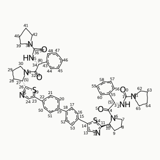 O=C(N[C@H](C(=O)N1CCC[C@H]1c1ncc(-c2ccc(-c3ccc(-c4cnc([C@@H]5CCCN5C(=O)[C@H](NC(=O)N5CCCC5)c5ccccc5)s4)cc3)cc2)s1)c1ccccc1)N1CCCC1